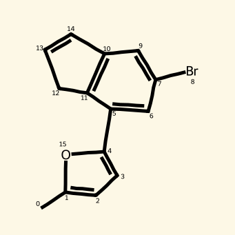 Cc1ccc(-c2cc(Br)cc3c2CC=C3)o1